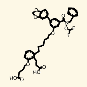 O=C(O)CCCOc1cccc(CCCCCCOc2cc(C(=O)N(Cc3ccccc3)OC(F)F)cc(-c3ccc4c(c3)OCO4)c2)c1CCC(=O)O